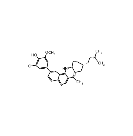 COc1cc(-c2ccc3ncc(C(C)=O)c(N[C@H]4CC[C@H](CCN(C)C)CC4)c3c2)cc(Cl)c1O